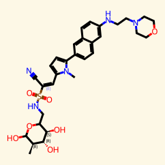 C[C@H]1C(O)OC(CNS(=O)(=O)/C(C#N)=C/c2ccc(-c3ccc4cc(NCCN5CCOCC5)ccc4c3)n2C)[C@@H](O)[C@@H]1O